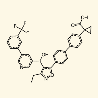 CCc1noc(-c2ccc(-c3ccc(C4(C(=O)O)CC4)cc3)cc2)c1C(O)c1cncc(-c2cccc(C(F)(F)F)c2)c1